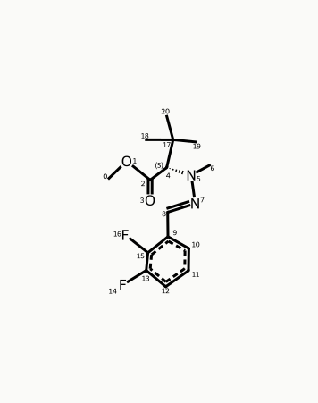 COC(=O)[C@@H](N(C)N=Cc1cccc(F)c1F)C(C)(C)C